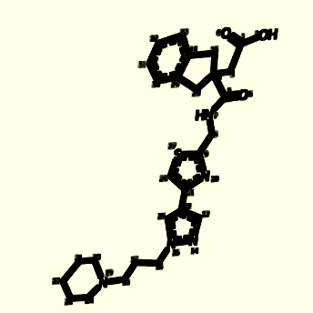 O=C(O)CC1(C(=O)NCc2nc(-c3cnn(CCCN4CCCCC4)c3)cs2)Cc2ccccc2C1